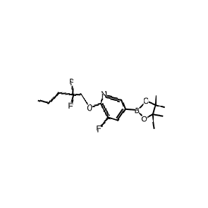 CCCC(F)(F)COc1ncc(B2OC(C)(C)C(C)(C)O2)cc1F